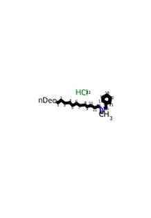 CCCCCCCCCCCCCCCCCCCCCCN(C)Cc1ccccc1.Cl